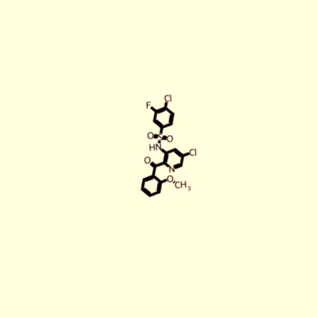 COc1ccccc1C(=O)c1ncc(Cl)cc1NS(=O)(=O)c1ccc(Cl)c(F)c1